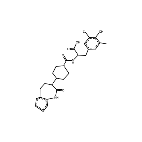 Cc1cc(CC(NC(=O)N2CCC(N3CCc4ccccc4NC3=O)CC2)C(=O)O)cc(Cl)c1O